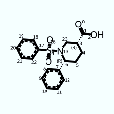 O=C(O)[C@@H]1CC[C@H](c2ccccc2)N(S(=O)(=O)c2ccccc2)C1